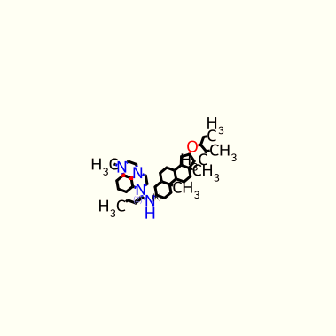 CC/C=C(/N[C@@H]1CCC2(C)C(CCC3C4CC(OC(CC)C(C)C)CC4(C)CCC32)C1)N(CCN1CCN(C)CC1)C1CCCCC1